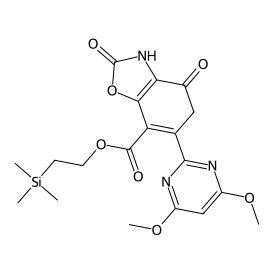 COc1cc(OC)nc(C2=C(C(=O)OCC[Si](C)(C)C)c3oc(=O)[nH]c3C(=O)C2)n1